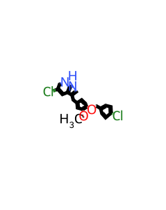 COc1cc(Cc2c[nH]c3ncc(Cl)cc23)ccc1OCc1ccc(Cl)cc1